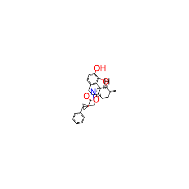 C=C1CC[C@@]2(OC(=O)CCc3ccccc3)C3Cc4ccc(O)c5c4C2(CCN3CC2CC2)[C@H]1O5